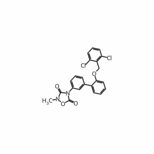 Cn1oc(=O)n(-c2cccc(-c3ccccc3OCc3c(Cl)cccc3Cl)c2)c1=O